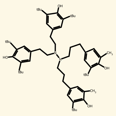 Cc1cc(CCCN(CCCc2cc(C)c(O)c(C(C)(C)C)c2)N(CCc2cc(C(C)(C)C)c(O)c(C(C)(C)C)c2)CCc2cc(C(C)(C)C)c(O)c(C(C)(C)C)c2)cc(C(C)(C)C)c1O